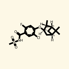 C[C@@H]1[C@H]2C[C@@H](C[C@H]1Oc1cc(F)c(C(=O)NS(C)(=O)=O)cc1Cl)C2(C)C